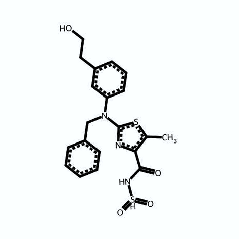 Cc1sc(N(Cc2ccccc2)c2cccc(CCO)c2)nc1C(=O)N[SH](=O)=O